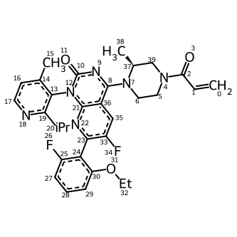 C=CC(=O)N1CCN(c2nc(=O)n(-c3c(C)ccnc3C(C)C)c3nc(-c4c(F)cccc4OCC)c(F)cc23)[C@@H](C)C1